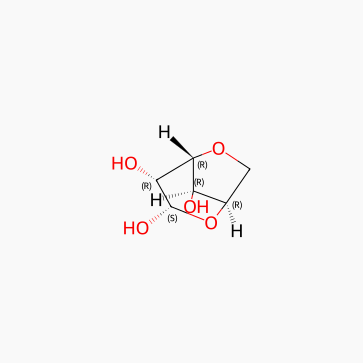 O[C@@H]1[C@@H]2OC[C@@H](O[C@@H]1O)[C@H]2O